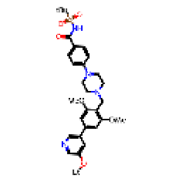 CCOc1cncc(-c2cc(OC)c(CN3CCN(c4ccc(C(=O)NS(=O)(=O)C(C)(C)C)cc4)CC3)c(OC)c2)c1